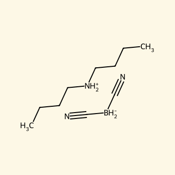 CCCC[NH2+]CCCC.N#C[BH2-]C#N